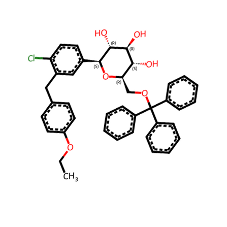 CCOc1ccc(Cc2cc([C@@H]3O[C@H](COC(c4ccccc4)(c4ccccc4)c4ccccc4)[C@@H](O)[C@H](O)[C@H]3O)ccc2Cl)cc1